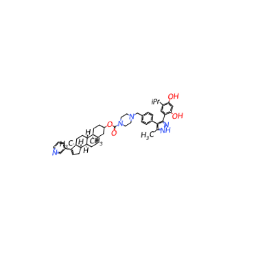 Cc1[nH]nc(-c2cc(C(C)C)c(O)cc2O)c1-c1ccc(CN2CCN(C(=O)OC3CC[C@@]4(C)C(=CC[C@@H]5[C@@H]4CC[C@]4(C)C(c6cccnc6)=CC[C@@H]54)C3)CC2)cc1